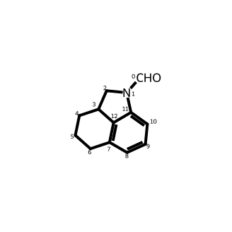 O=CN1CC2CCCc3cccc1c32